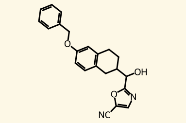 N#Cc1cnc(C(O)C2CCc3cc(OCc4ccccc4)ccc3C2)o1